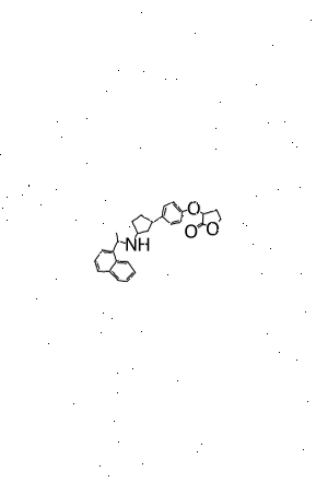 CC(NC1CCC(c2ccc(OC3CCOC3=O)cc2)C1)c1cccc2ccccc12